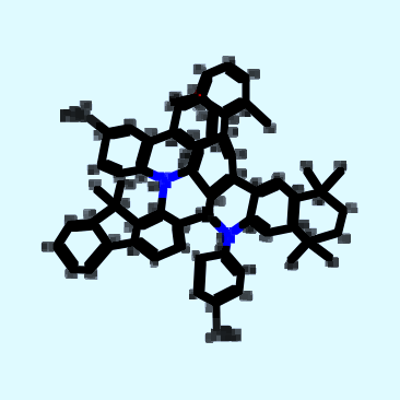 CCCCc1ccc(N2B3c4ccc5c(c4N(c4ccc(CCCC)cc4-c4ccccc4)c4cc(-c6c(C)cccc6C)cc(c43)-c3cc4c(cc32)C(C)(C)CCC4(C)C)C(C)(C)c2ccccc2-5)cc1